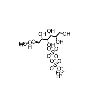 O=C[C@H](O)[C@@H](O)[C@H](O)[C@H](O)CO.O=S(=O)([O-])[O-].O=S(=O)([O-])[O-].OO.[Fe+2].[H+].[H+]